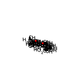 C/C=C(/C)CC(=O)O[C@H]1[C@H](OC(=O)/C(C)=C\C)C(C)(C)CC2C3=CCC4[C@@](C)(CCC5C(C)(C)[C@@H](OC6OC(C(=O)O)C(O)C(OC7OC(CO)C(O)C7O)C6OC6OC(CO)C(O)C(O)C6O)CC[C@@]54C)C3[C@@H](O)[C@@H](O)[C@]21CO